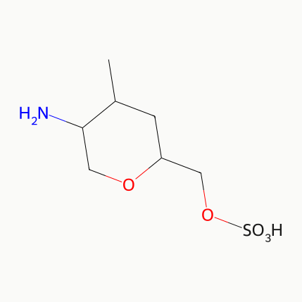 CC1CC(COS(=O)(=O)O)OCC1N